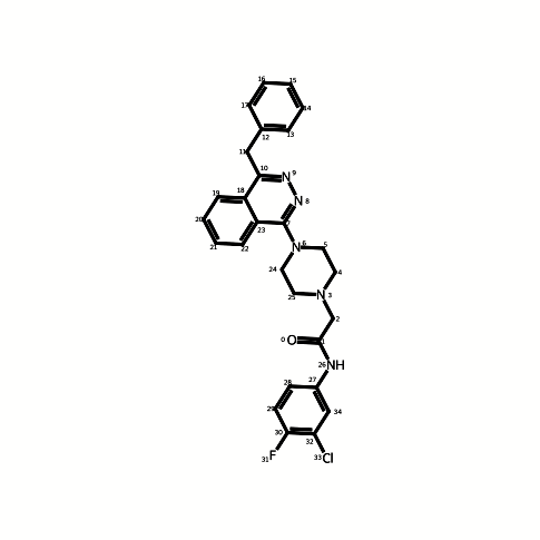 O=C(CN1CCN(c2nnc(Cc3ccccc3)c3ccccc23)CC1)Nc1ccc(F)c(Cl)c1